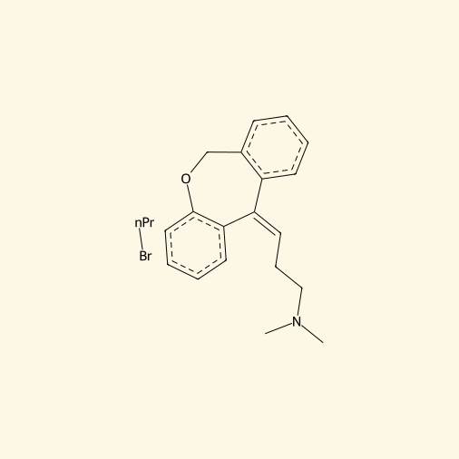 CCCBr.CN(C)CCC=C1c2ccccc2COc2ccccc21